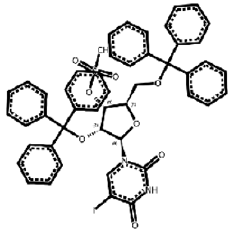 CS(=O)(=O)O[C@H]1[C@@H](OC(c2ccccc2)(c2ccccc2)c2ccccc2)[C@H](n2cc(I)c(=O)[nH]c2=O)O[C@@H]1COC(c1ccccc1)(c1ccccc1)c1ccccc1